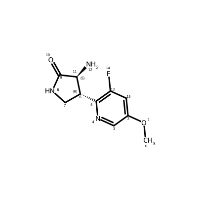 COc1cnc([C@@H]2CNC(=O)[C@H]2N)c(F)c1